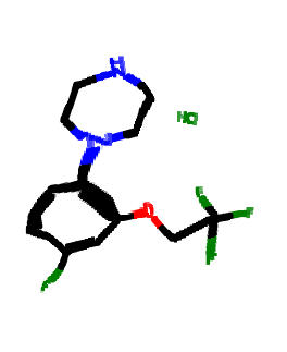 Cl.Fc1ccc(N2CCNCC2)c(OCC(F)(F)F)c1